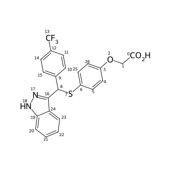 O=C(O)COc1ccc(SC(c2ccc(C(F)(F)F)cc2)c2n[nH]c3ccccc23)cc1